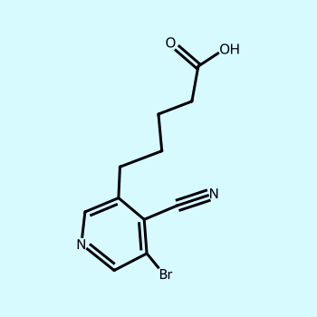 N#Cc1c(Br)cncc1CCCCC(=O)O